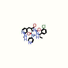 CC[C@@H](NC(=O)N1C(=O)C(Cc2ccnc(NC)c2)[C@H]1C(=O)N(C)c1ccncc1)c1cccc(Cl)c1